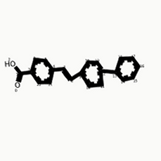 O=C(O)c1ccc(/C=C/c2ccc(-c3ccccc3)cc2)cc1